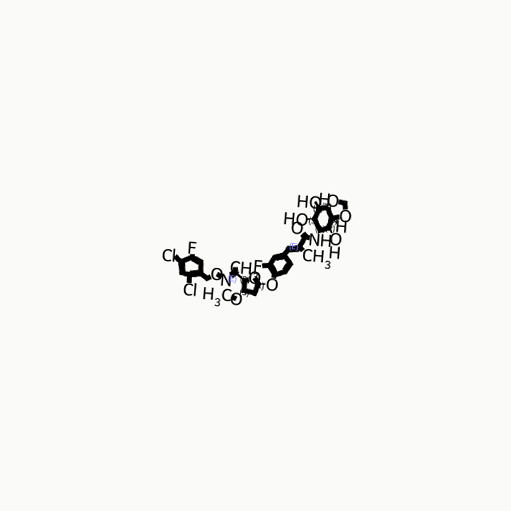 CO[C@H]1C[C@@H](Oc2ccc(/C=C(\C)C(=O)N[C@@H]3[C@H](O)[C@@H](O)[C@H]4OCO[C@H]4[C@@H]3O)cc2F)O[C@@H]1/C(C)=N/OCc1cc(F)c(Cl)cc1Cl